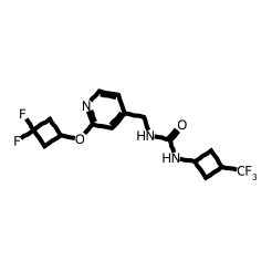 O=C(NCc1ccnc(OC2CC(F)(F)C2)c1)NC1CC(C(F)(F)F)C1